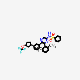 Cc1cccc(C)c1-c1nc(NS(=O)(=O)c2ccccc2)cnc1-c1cccc([C@@H]2CC[C@@H](OC(F)(F)F)C2)c1